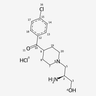 Cl.N[C@H](CO)CN1CCC(C(=O)c2ccc(Cl)cc2)CC1